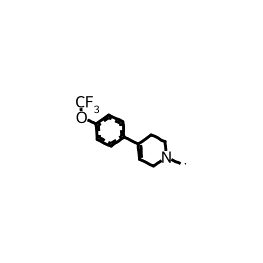 [CH2]N1CC=C(c2ccc(OC(F)(F)F)cc2)CC1